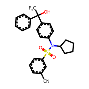 N#Cc1cccc(S(=O)(=O)N(c2ccc(C(O)(c3ccccc3)C(F)(F)F)cc2)C2CCCC2)c1